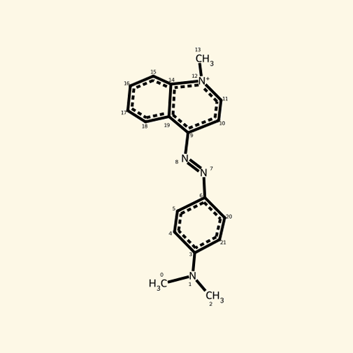 CN(C)c1ccc(N=Nc2cc[n+](C)c3ccccc23)cc1